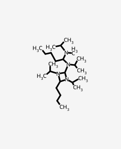 CCCCC(N(C)C(C)C)N(C(C)C)C1N(C(C)C)C(CCCC)N1C(C)C